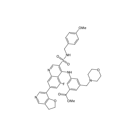 COC(=O)c1cc(CN2CCOCC2)cc(Nc2c(S(=O)(=O)NCc3ccc(OC)cc3)cnc3cc(-c4cncc5c4OCC5)cc(F)c23)c1